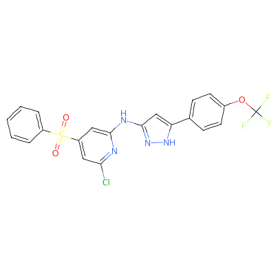 O=S(=O)(c1ccccc1)c1cc(Cl)nc(Nc2cc(-c3ccc(OC(F)(F)F)cc3)[nH]n2)c1